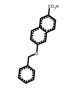 O=C(O)c1ccc2cc(OCc3ccccc3)ccc2c1